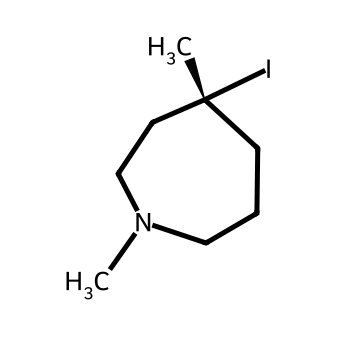 CN1CCC[C@@](C)(I)CC1